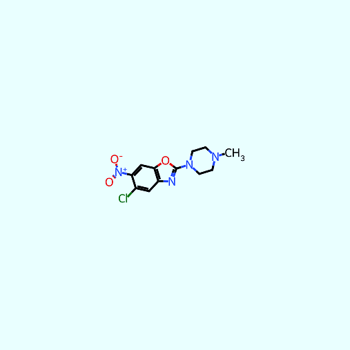 CN1CCN(c2nc3cc(Cl)c([N+](=O)[O-])cc3o2)CC1